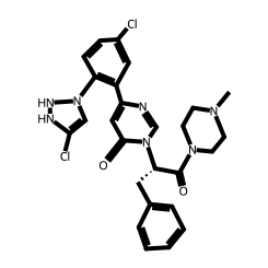 CN1CCN(C(=O)[C@H](Cc2ccccc2)n2cnc(-c3cc(Cl)ccc3N3C=C(Cl)NN3)cc2=O)CC1